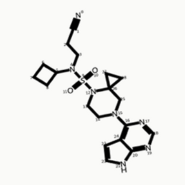 N#CCCN(C1CCC1)S(=O)(=O)N1CCN(c2ncnc3[nH]ccc23)CC12CC2